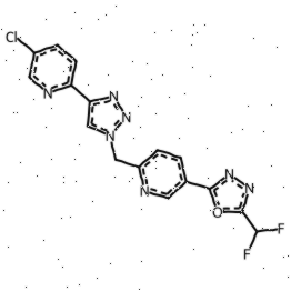 FC(F)c1nnc(-c2ccc(Cn3cc(-c4ccc(Cl)cn4)nn3)nc2)o1